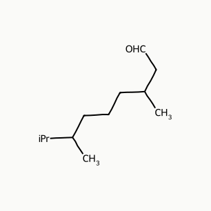 CC(CC=O)CCCC(C)C(C)C